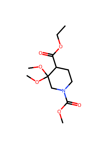 CCOC(=O)C1CCN(C(=O)OC)CC1(OC)OC